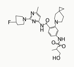 Cc1cc(NC(=O)c2ccc(NS(=O)(=O)C(C)CO)cc2N2CCC3(CC2)CC3)nc(N2CCC(F)CC2)n1